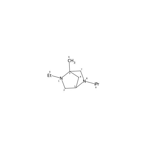 CCN1CC2CC1(C)CN2C(C)C